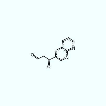 O=CCC(=O)c1cnc2ncccc2c1